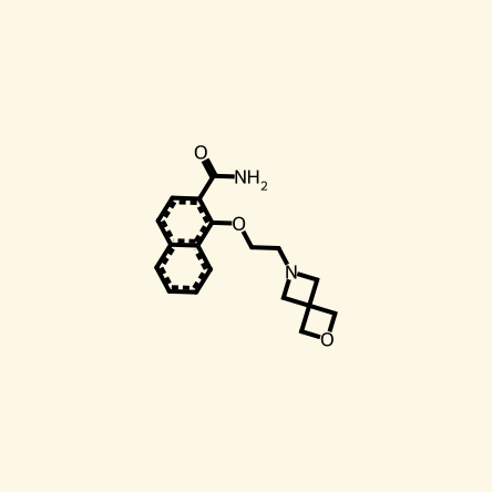 NC(=O)c1ccc2ccccc2c1OCCN1CC2(COC2)C1